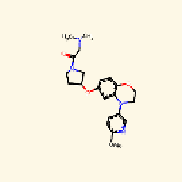 COc1ccc(N2CCOc3ccc(O[C@H]4CCN(C(=O)CN(C)C)C4)cc32)cn1